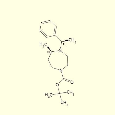 C[C@@H]1CCN(C(=O)OC(C)(C)C)CCN1[C@H](C)c1ccccc1